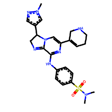 CN(C)S(=O)(=O)c1ccc(NC2=NC(C3=CCCNC3)=CN3C2=NCC3c2cnn(C)c2)cc1